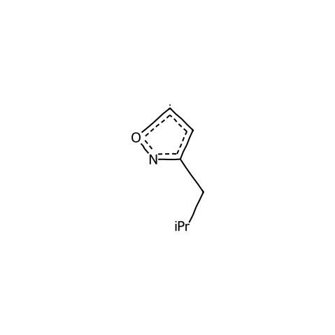 CC(C)Cc1c[c]on1